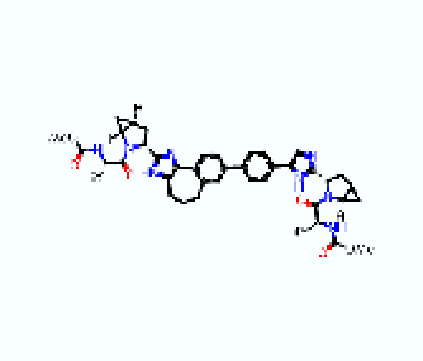 CC[C@H](NC(=O)OC)C(=O)N1[C@@H]2C[C@@H]2C[C@H]1c1nc2c([nH]1)CCCc1cc(-c3ccc(-c4cnc([C@@H]5CC6C[C@H]6N5C(=O)[C@@H](NC(=O)OC)C(C)C)[nH]4)cc3)ccc1-2